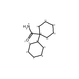 NC(=O)C1(C2CCCCC2)CCCCC1